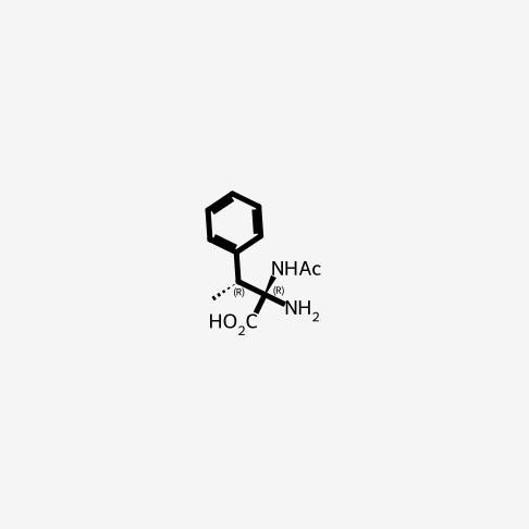 CC(=O)N[C@@](N)(C(=O)O)[C@H](C)c1ccccc1